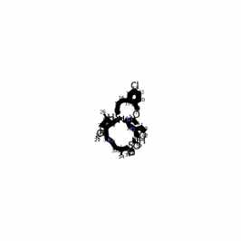 C=C/C1=C\C2=C(/C)OCc3ccc(Cl)cc3CCCCN2C[C@H]2[C@@H](C[C@H]2C)[C@@H](OC)/C=C/C[C@H](C)[C@@H](C)S(=O)(=O)NC1=O